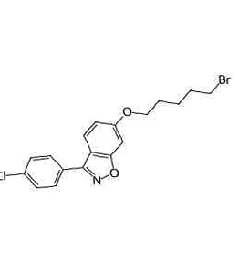 Clc1ccc(-c2noc3cc(OCCCCCBr)ccc23)cc1